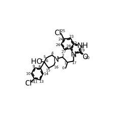 CC(CN1CCC(O)(c2ccc(Cl)cc2)CC1)Cn1c(=O)[nH]c2cc(Cl)ccc21